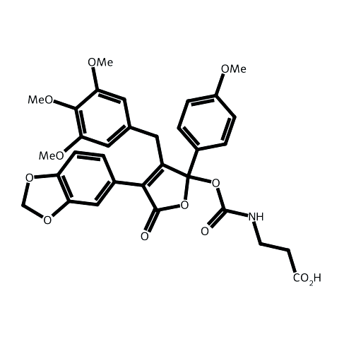 COc1ccc(C2(OC(=O)NCCC(=O)O)OC(=O)C(c3ccc4c(c3)OCO4)=C2Cc2cc(OC)c(OC)c(OC)c2)cc1